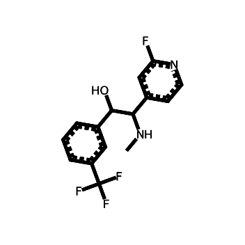 CNC(c1ccnc(F)c1)C(O)c1cccc(C(F)(F)F)c1